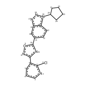 Clc1ncccc1-c1noc(-c2ccc3c(c2)nnn3C2CCCC2)n1